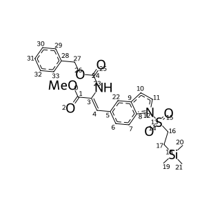 COC(=O)C(=Cc1ccc2c(ccn2S(=O)(=O)CC[Si](C)(C)C)c1)NC(=O)OCc1ccccc1